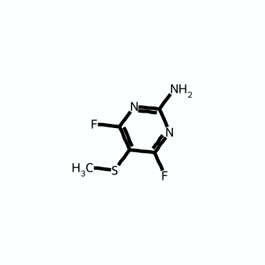 CSc1c(F)nc(N)nc1F